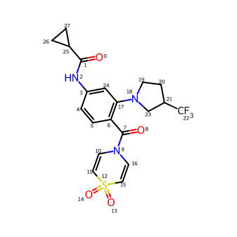 O=C(Nc1ccc(C(=O)N2C=CS(=O)(=O)C=C2)c(N2CCC(C(F)(F)F)C2)c1)C1CC1